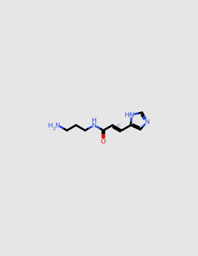 NCCCNC(=O)/C=C/c1cnc[nH]1